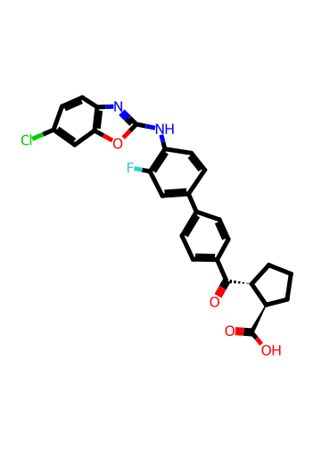 O=C(O)[C@@H]1CCC[C@H]1C(=O)c1ccc(-c2ccc(Nc3nc4ccc(Cl)cc4o3)c(F)c2)cc1